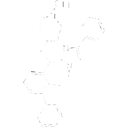 CN1CCC(OC2c3cccc(-c4ccccc4)c3CCn3cc(-c4ccccc4)nc32)CC1